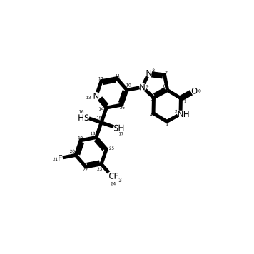 O=C1NCCc2c1cnn2-c1ccnc(C(S)(S)c2cc(F)cc(C(F)(F)F)c2)c1